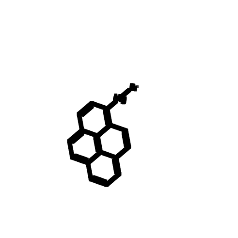 [Br][Mg][c]1ccc2ccc3cccc4ccc1c2c34